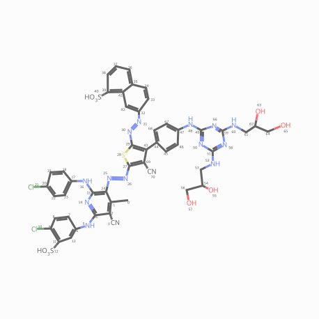 Cc1c(C#N)c(Nc2ccc(Cl)c(S(=O)(=O)O)c2)nc(Nc2ccc(Cl)cc2)c1N=Nc1sc(N=Nc2ccc3cccc(S(=O)(=O)O)c3c2)c(-c2ccc(Nc3nc(NCC(O)CO)nc(NCC(O)CO)n3)cc2)c1C#N